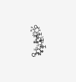 [2H]C([2H])(C1CCOC(C)(C)C1)N1C[C@H]2CC(Nc3ccc(Cl)nn3)C[C@H]2C1